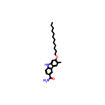 CCCCCCCCCCCCOc1cc2[nH]c3ccc(C(N)=O)cc3c2cc1C